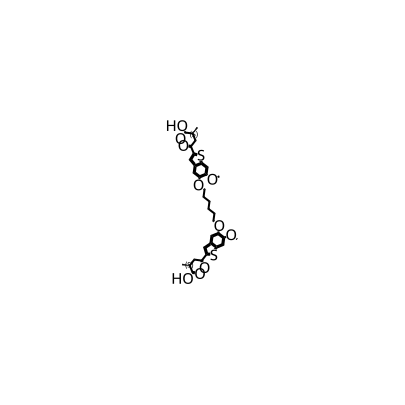 COc1cc2sc(C(=O)C[C@H](C)C(=O)O)cc2cc1OCCCCCCOc1cc2cc(C(=O)C[C@H](C)C(=O)O)sc2cc1OC